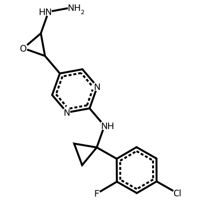 NNC1OC1c1cnc(NC2(c3ccc(Cl)cc3F)CC2)nc1